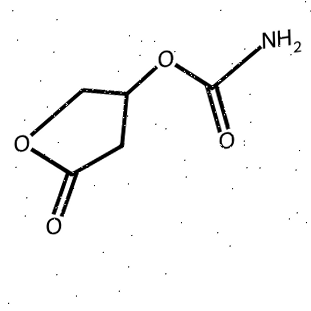 NC(=O)OC1COC(=O)C1